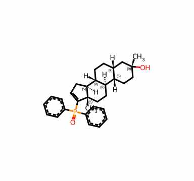 C[C@@]1(O)CC[C@H]2[C@H](CC[C@@H]3[C@@H]2CC[C@]2(C)C(P(=O)(c4ccccc4)c4ccccc4)=CC[C@@H]32)C1